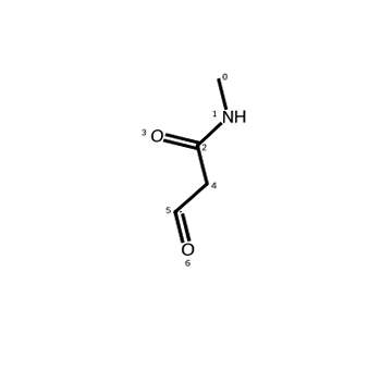 CNC(=O)C[C]=O